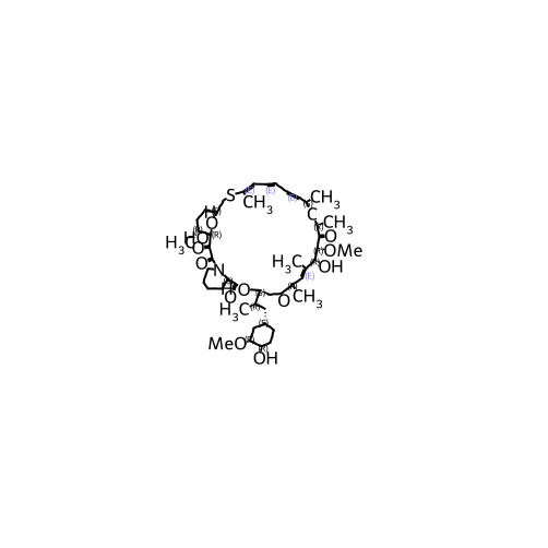 CO[C@@H]1C[C@H](C[C@@H](C)[C@@H]2CC(=O)[C@H](C)/C=C(\C)[C@@H](O)[C@@H](OC)C(=O)[C@H](C)C[C@H](C)/C=C/C=C/C=C(\C)SC[C@@H]3CC[C@@H](C)[C@@](O)(O3)C(=O)C(=O)N3CCCC[C@H]3C(=O)O2)CC[C@H]1O